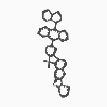 CC1(C)c2ccc(-c3c4ccccc4c(C4=CC=CC5C=CC=CC45)c4ccccc34)cc2-c2ccc3cc4c(cc3c21)sc1ccccc14